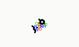 Cc1cc(C)nc(S(=O)(=O)Nc2c(Cl)ccc(C)c2Cl)n1